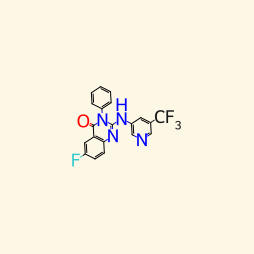 O=c1c2cc(F)ccc2nc(Nc2cncc(C(F)(F)F)c2)n1-c1ccccc1